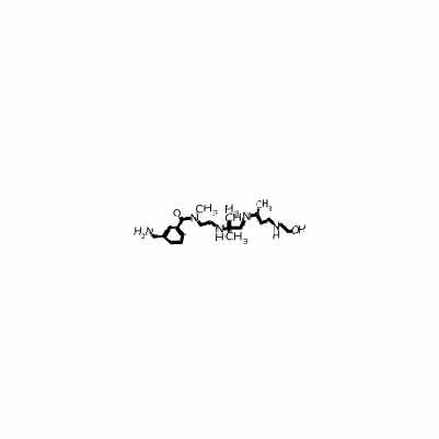 CC(CCNCCO)NCC(C)(C)NCCN(C)C(=O)c1cccc(CN)c1